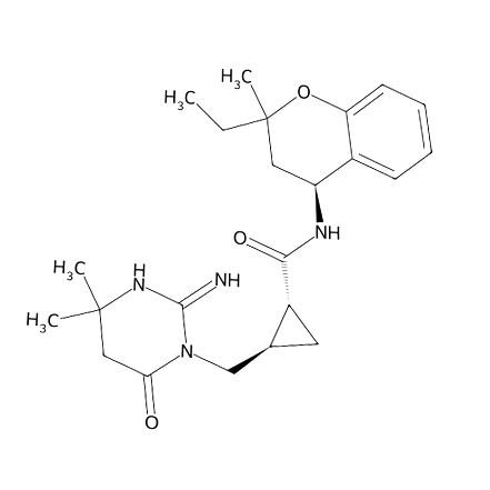 CCC1(C)C[C@H](NC(=O)[C@@H]2C[C@H]2CN2C(=N)NC(C)(C)CC2=O)c2ccccc2O1